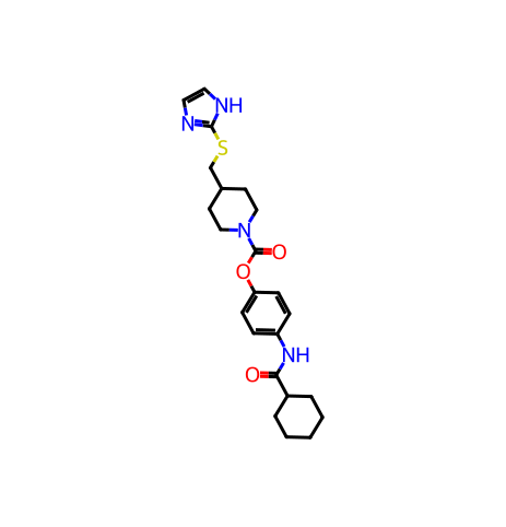 O=C(Nc1ccc(OC(=O)N2CCC(CSc3ncc[nH]3)CC2)cc1)C1CCCCC1